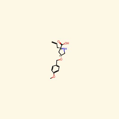 C=CC[C@]1(C(=O)O)C[C@@H](OCc2ccc(OC)cc2)CN1